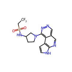 O=S(=O)(CC(F)(F)F)NC1CCN(c2nncc3cnc4[nH]ccc4c23)C1